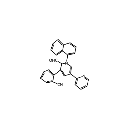 N#Cc1ccccc1C1=CC(c2ccccn2)=CN(c2cccc3ccccc23)C1C=O